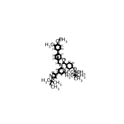 CCC(C)(C)n1cc(-c2ccnc(N(CC34CCC(c5ccc(OC)c(C)c5)(CC3)CC4)C(=O)C3CCC(O[Si](C)(C)C(C)(C)C)CC3)c2)cn1